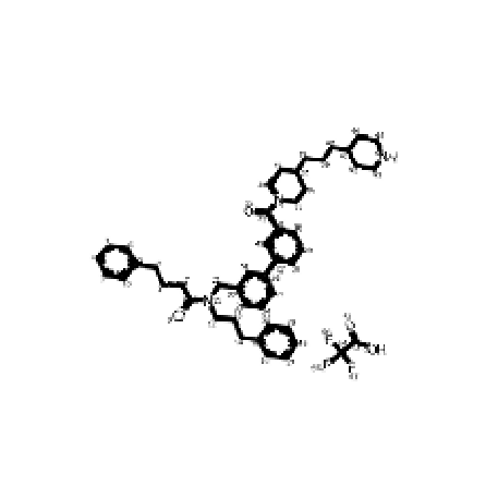 O=C(CCCc1ccccc1)N(CCCc1ccccc1)Cc1cccc(-c2cccc(C(=O)N3CCC(CCCC4CCNCC4)CC3)c2)c1.O=C(O)C(F)(F)F